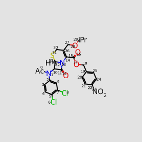 CC(=O)N(c1ccc(Cl)c(Cl)c1)C1C(=O)N2C(C(=O)OCc3ccc([N+](=O)[O-])cc3)=C(COC(C)C)CS[C@H]12